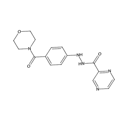 O=C(NNc1ccc(C(=O)N2CCOCC2)cc1)c1cnccn1